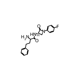 NC(CCc1ccccc1)C(=O)N[C@@H]1CN(c2ccc(F)cc2)C1=O